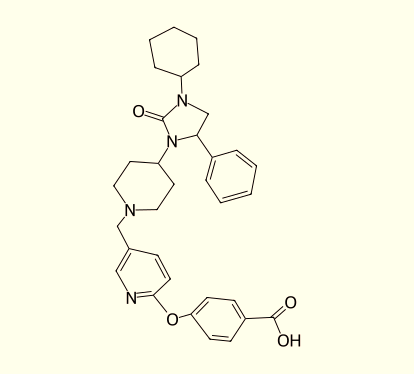 O=C(O)c1ccc(Oc2ccc(CN3CCC(N4C(=O)N(C5CCCCC5)CC4c4ccccc4)CC3)cn2)cc1